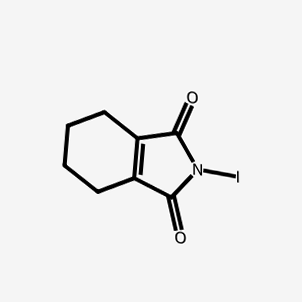 O=C1C2=C(CCCC2)C(=O)N1I